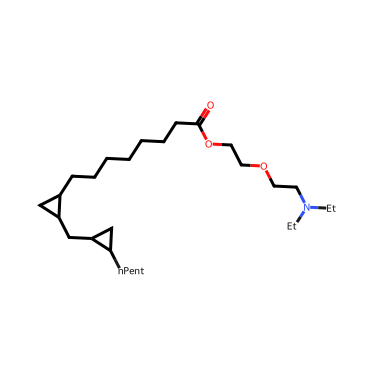 CCCCCC1CC1CC1CC1CCCCCCCC(=O)OCCOCCN(CC)CC